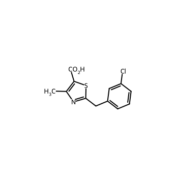 Cc1nc(Cc2cccc(Cl)c2)sc1C(=O)O